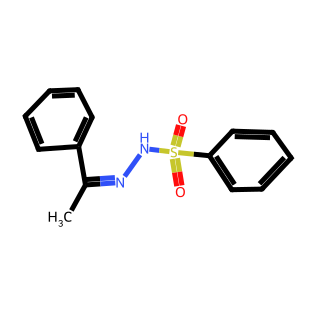 CC(=NNS(=O)(=O)c1ccccc1)c1ccccc1